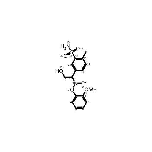 CCN(Oc1ccccc1OC)C(CO)c1ccc(C)c(S(N)(=O)=O)c1